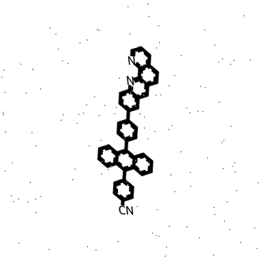 N#Cc1ccc(-c2c3ccccc3c(-c3ccc(-c4ccc5nc6c(ccc7cccnc76)cc5c4)cc3)c3ccccc23)cc1